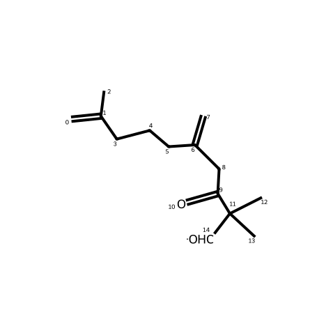 C=C(C)CCCC(=C)CC(=O)C(C)(C)[C]=O